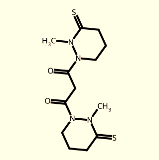 CN1C(=S)CCCN1C(=O)CC(=O)N1CCCC(=S)N1C